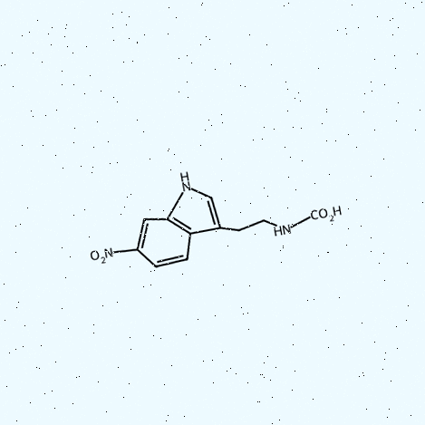 O=C(O)NCCc1c[nH]c2cc([N+](=O)[O-])ccc12